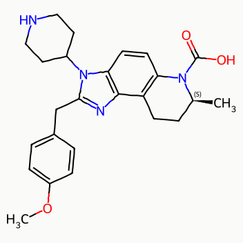 COc1ccc(Cc2nc3c4c(ccc3n2C2CCNCC2)N(C(=O)O)[C@@H](C)CC4)cc1